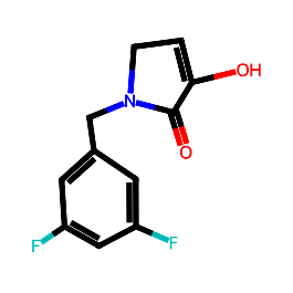 O=C1C(O)=CCN1Cc1cc(F)cc(F)c1